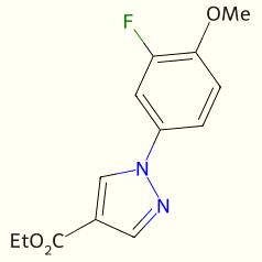 CCOC(=O)c1cnn(-c2ccc(OC)c(F)c2)c1